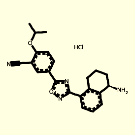 CC(C)Oc1ccc(-c2nc(-c3cccc4c3CCC[C@H]4N)no2)cc1C#N.Cl